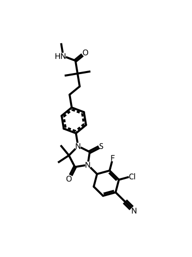 CNC(=O)C(C)(C)CCc1ccc(N2C(=S)N(C3CC=C(C#N)C(Cl)=C3F)C(=O)C2(C)C)cc1